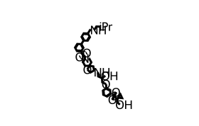 CC(C)CNCc1ccc(-c2cccc(S(=O)(=O)N3CCC4(CC3)CC(NCC(O)COc3cccc(S(=O)(=O)C5(CO)CC5)c3)CO4)c2)cc1